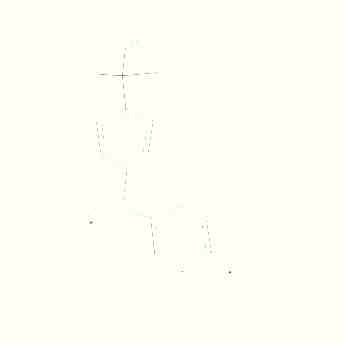 CC(C)(C)c1ccc([I+](c2ccc(C(C)(C)C)cc2)C(F)(F)F)cc1